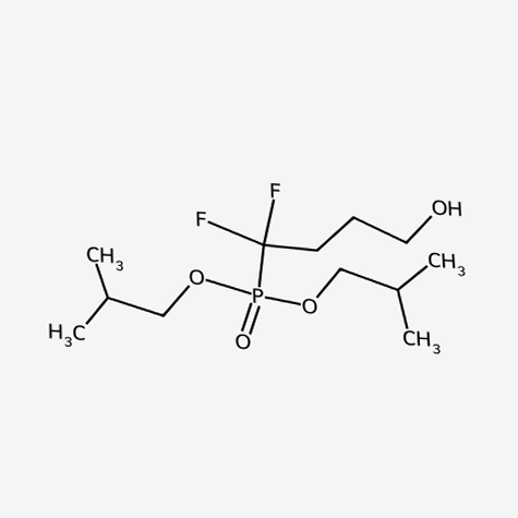 CC(C)COP(=O)(OCC(C)C)C(F)(F)CCCO